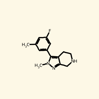 Cc1cc(F)cc(-c2c3c(nn2C)CNCC3)c1